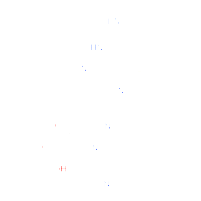 CNc1cc(F)c(F)c2c1[nH]c1ncc(-c3cnc4c(c3)c(=O)c(C(=O)O)cn4CC(C)(C)N(C)C)c(N(C)C)c12